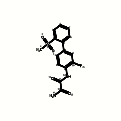 CS(=O)(=O)c1ccccc1-c1ccc(NC(=O)C(N)=O)c(F)c1